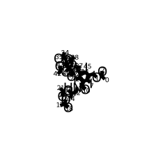 CC(=O)OCc1c(I)c(C(=O)NCC(COC(C)=O)OC(C)=O)c(I)c(N(C)C(=O)C(COC(C)=O)(OC(C)=O)OC(C)=O)c1I